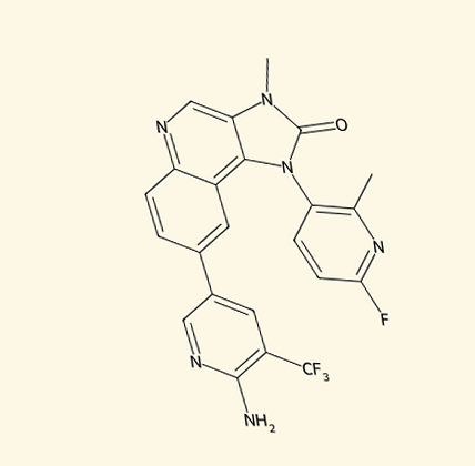 Cc1nc(F)ccc1-n1c(=O)n(C)c2cnc3ccc(-c4cnc(N)c(C(F)(F)F)c4)cc3c21